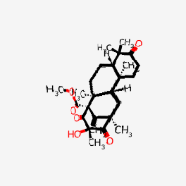 C=C1[C@@]2(C)C[C@H]3[C@]4(C)CCC(=O)C(C)(C)[C@H]4CC[C@]3(C)[C@]1(C(=O)OC)C(=O)[C@@](C)(O)C2=O